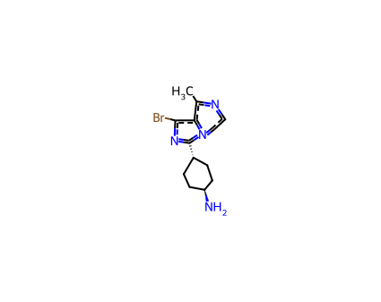 Cc1nccn2c1c(Br)nc2[C@H]1CC[C@H](N)CC1